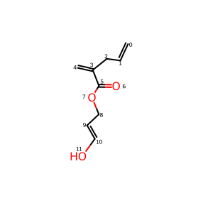 C=CCC(=C)C(=O)OCC=CO